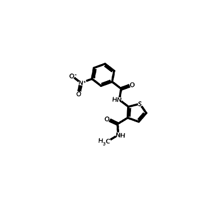 CNC(=O)c1ccsc1NC(=O)c1cccc([N+](=O)[O-])c1